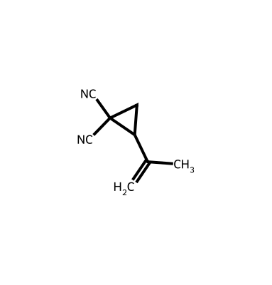 C=C(C)C1CC1(C#N)C#N